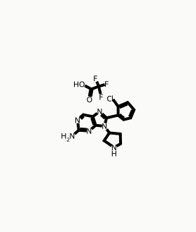 Nc1ncc2nc(-c3ccccc3Cl)n(C3CCNC3)c2n1.O=C(O)C(F)(F)F